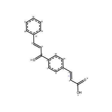 O=C(O)/C=C/c1ccc(C(=O)C=Cc2ccccc2)cc1